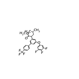 COC(=O)C(CC(C)C)c1cc(Oc2cc(F)c(F)c(F)c2)cc(-c2ccc(C(F)(F)F)cc2)c1